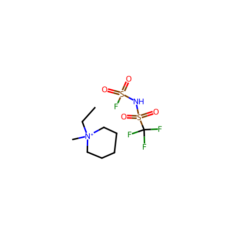 CC[N+]1(C)CCCCC1.O=S(=O)(F)NS(=O)(=O)C(F)(F)F